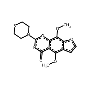 COc1c2occc2c(OC)c2c(=O)nc(N3CCSCC3)oc12